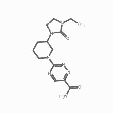 CCN1CCN(C2CCCN(c3ncc(C(N)=O)nn3)C2)C1=O